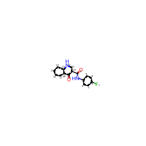 O=C(Nc1ccc(F)cc1)c1c[nH]c2ccccc2c1=O